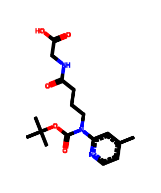 Cc1ccnc(N(CCCC(=O)NCC(=O)O)C(=O)OC(C)(C)C)c1